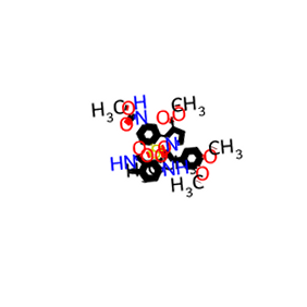 COC(=O)Nc1ccc(S(=O)(=O)C(C)C)c([C@H]2[C@@H](C(=O)OC)CCN2C(=O)C(Nc2ccc3c(c2)C(=O)NC3)c2ccc(OC)c(OC)c2)c1